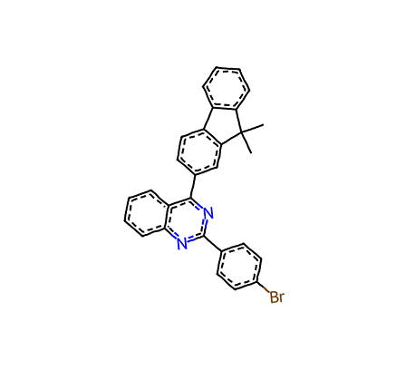 CC1(C)c2ccccc2-c2ccc(-c3nc(-c4ccc(Br)cc4)nc4ccccc34)cc21